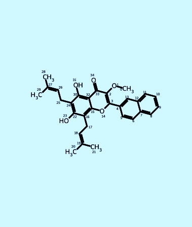 COc1c(-c2ccc3ccccc3c2)oc2c(CC=C(C)C)c(O)c(CC=C(C)C)c(O)c2c1=O